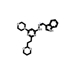 C(=N/Nc1cc(N2CCOCC2)nc(CCC2OCCCO2)n1)/c1c[nH]c2ccccc12